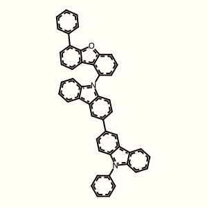 c1ccc(-c2cccc3c2oc2cccc(-n4c5ccccc5c5cc(-c6ccc7c(c6)c6ccccc6n7-c6ccccc6)ccc54)c23)cc1